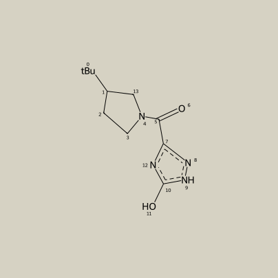 CC(C)(C)C1CCN(C(=O)c2n[nH]c(O)n2)C1